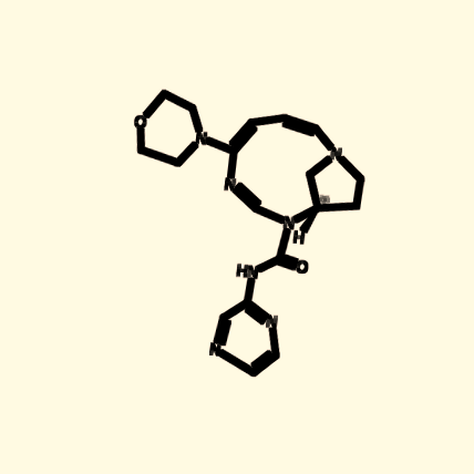 O=C(Nc1cnccn1)N1C=NC(N2CCOCC2)=CC=CN2CC[C@H]1C2